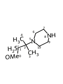 CO[SiH2]C(C)(C)N1CCNCC1